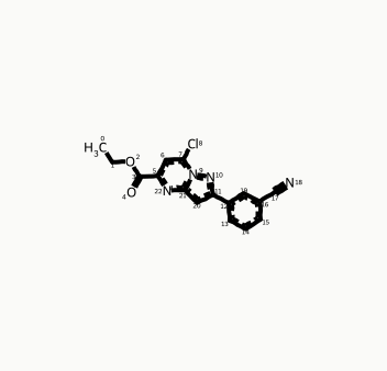 CCOC(=O)c1cc(Cl)n2nc(-c3cccc(C#N)c3)cc2n1